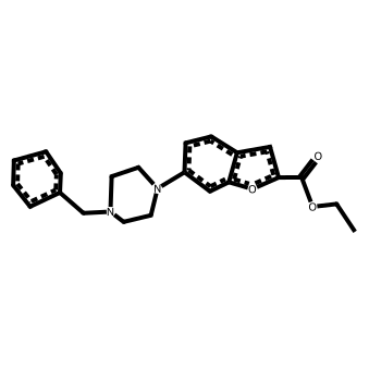 CCOC(=O)c1cc2ccc(N3CCN(Cc4ccccc4)CC3)cc2o1